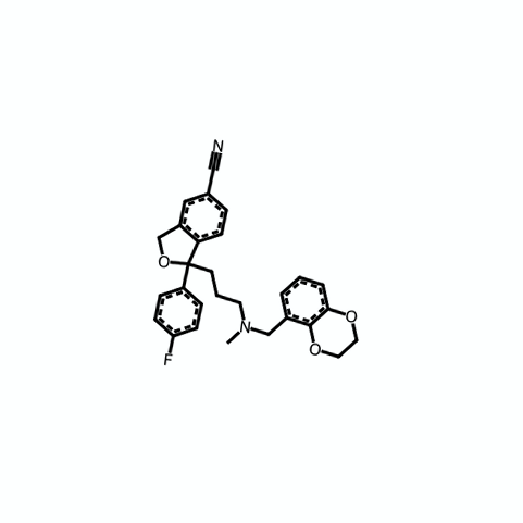 CN(CCCC1(c2ccc(F)cc2)OCc2cc(C#N)ccc21)Cc1cccc2c1OCCO2